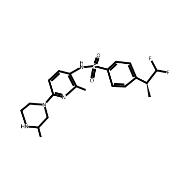 Cc1nc(N2CCNC(C)C2)ccc1NS(=O)(=O)c1ccc([C@H](C)C(F)F)cc1